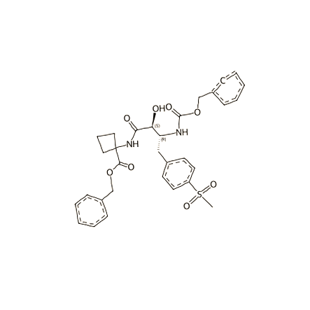 CS(=O)(=O)c1ccc(C[C@@H](NC(=O)OCc2ccccc2)[C@H](O)C(=O)NC2(C(=O)OCc3ccccc3)CCC2)cc1